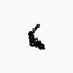 Cc1ccc(S(=O)(=O)N[C@@H]2CCOC[C@@H]2Oc2nc3c(ccn3COCC[Si](C)(C)C)cc2Br)cc1